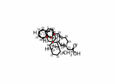 C[C@@H]1CC[C@@H]2C[C@H]1C[C@@H](N1[C@H]3CC[C@@H](C)[C@@H]1C[C@H](n1c(CN4CCN(CC(=O)O)CC4)nc4ccccc41)C3)C2